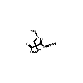 COC(=O)C(CSC(C)(C)C)(C(=O)N=[N+]=[N-])C(C)C